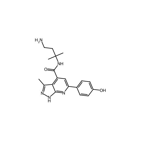 Cc1n[nH]c2nc(-c3ccc(O)cc3)cc(C(=O)NC(C)(C)CCN)c12